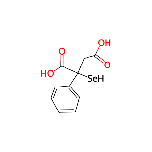 O=C(O)CC([SeH])(C(=O)O)c1ccccc1